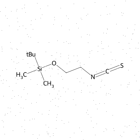 CC(C)(C)[Si](C)(C)OCCN=C=S